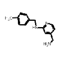 Cc1ccc(CNc2cc(CN)ccn2)cc1